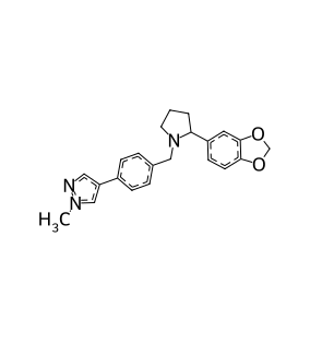 Cn1cc(-c2ccc(CN3CCCC3c3ccc4c(c3)OCO4)cc2)cn1